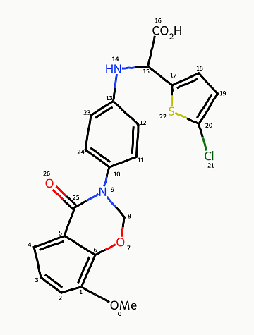 COc1cccc2c1OCN(c1ccc(NC(C(=O)O)c3ccc(Cl)s3)cc1)C2=O